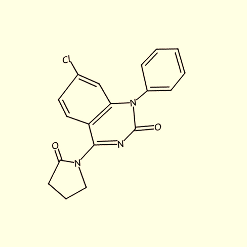 O=C1CCCN1c1nc(=O)n(-c2ccccc2)c2cc(Cl)ccc12